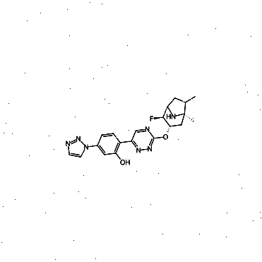 CC1CC2N[C@]1(C)C[C@H](Oc1ncc(-c3ccc(-n4ccnn4)cc3O)nn1)[C@H]2F